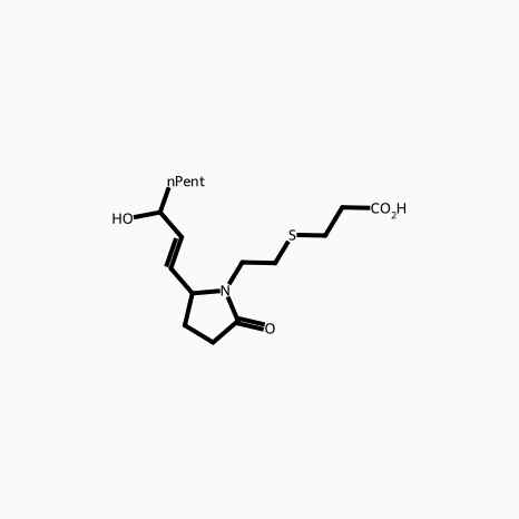 CCCCCC(O)C=CC1CCC(=O)N1CCSCCC(=O)O